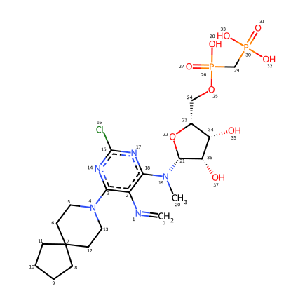 C=Nc1c(N2CCC3(CCCC3)CC2)nc(Cl)nc1N(C)[C@@H]1O[C@H](COP(=O)(O)CP(=O)(O)O)[C@H](O)[C@@H]1O